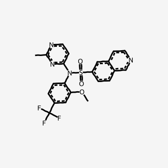 COc1cc(C(F)(F)F)ccc1N(c1ccnc(C)n1)S(=O)(=O)c1ccc2cnccc2c1